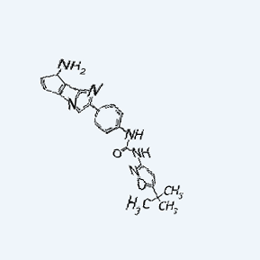 CC(C)(C)c1cc(NC(=O)Nc2ccc(-c3cn4c(n3)C3=C4C=CC3N)cc2)no1